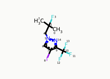 CC(C)(F)Cn1cc(I)c(C(F)(F)F)n1